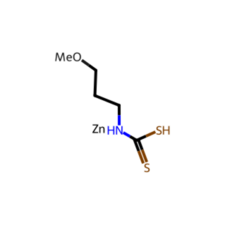 COCCCNC(=S)S.[Zn]